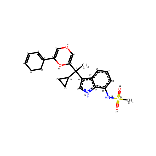 CC(C1=COC=C(C2=CC=CCC2)O1)(c1c[nH]c2c(NS(C)(=O)=O)cccc12)C1CC1